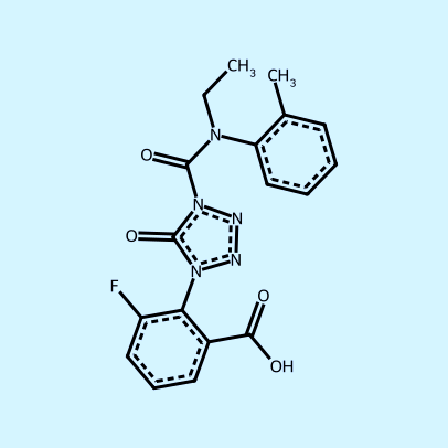 CCN(C(=O)n1nnn(-c2c(F)cccc2C(=O)O)c1=O)c1ccccc1C